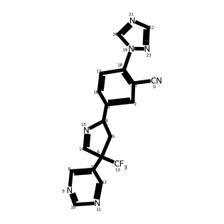 N#Cc1cc(C2CC(c3cncnc3)(C(F)(F)F)C=N2)ccc1-n1cncn1